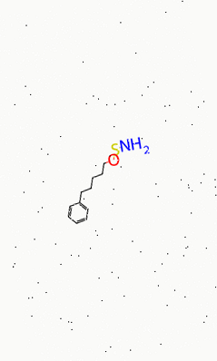 NSOCCCCCc1ccccc1